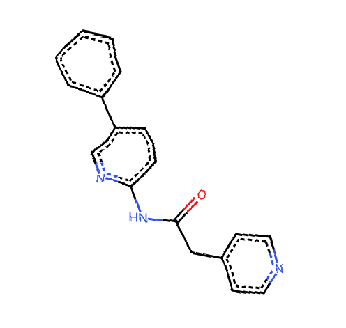 O=C(Cc1ccncc1)Nc1ccc(-c2ccccc2)cn1